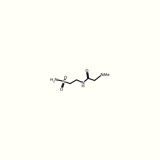 CNCC(=O)NCCS(N)(=O)=O